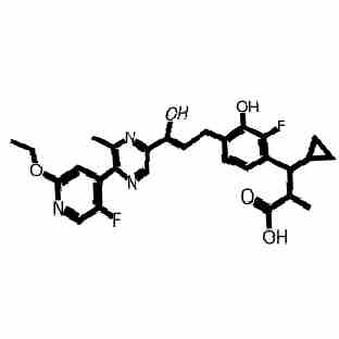 CCOc1cc(-c2ncc(C(O)CCc3ccc(C(C4CC4)C(C)C(=O)O)c(F)c3O)nc2C)c(F)cn1